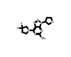 CC(C)(C)c1nc(N2CCC(F)(F)C2)c2nnn(C3CCOC3)c2n1